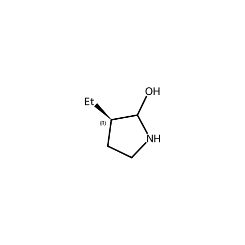 CC[C@@H]1CCNC1O